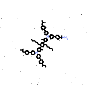 CCCCCCC1=CC(c2ccc(N(C3C=CC(C4C=CC(C(C)CC)=CC4)CC3)C3CC=C(C4=CC=C(CC(C)C)CC4)CC3)cc2C)C(CCCCCC)C=C1c1ccc(N(c2ccc(-c3ccc(CC(C)C)cc3)cc2)c2ccc(C3C=CC(C(C)(C)N)=CC3)cc2)cc1C